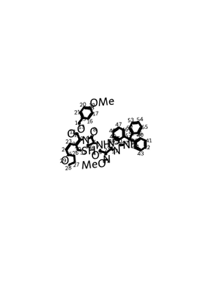 CO/N=C(\C(=O)N[C@@H]1C(=O)N2C(C(=O)OCc3ccc(OC)cc3)=C(/C=C\C3CCCO3)CS[C@@H]12)c1nsc(NC(c2ccccc2)(c2ccccc2)c2ccccc2)n1